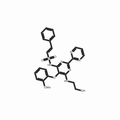 COc1ccccc1Oc1c(NCCO)nc(-c2ncccn2)nc1NS(=O)(=O)C=Cc1ccccc1